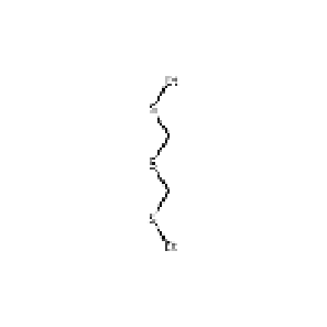 CCSCSCSCC